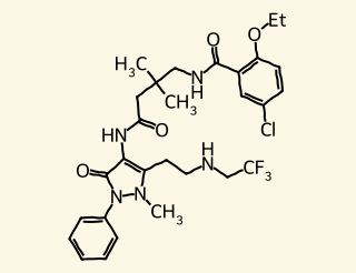 CCOc1ccc(Cl)cc1C(=O)NCC(C)(C)CC(=O)Nc1c(CCNCC(F)(F)F)n(C)n(-c2ccccc2)c1=O